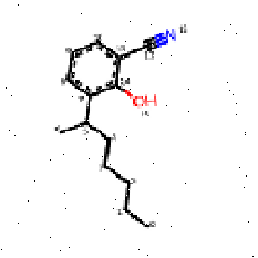 CCCCCC(C)c1cccc(C#N)c1O